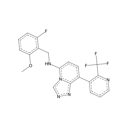 COc1cccc(F)c1CNc1ccc(-c2cccnc2C(F)(F)F)c2nncn12